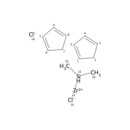 C1=CCC=C1.C1=CCC=C1.C[SiH](C)[Zr+2].[Cl-].[Cl-]